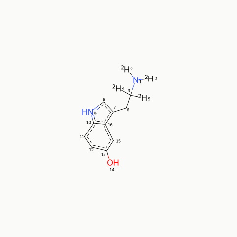 [2H]N([2H])C([2H])([2H])Cc1c[nH]c2ccc(O)cc12